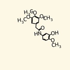 COc1ccc(NC(=O)Cc2cc(OC)c(OC)c(OC)c2)cc1O